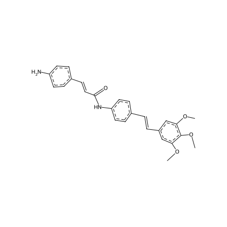 COc1cc(/C=C/c2ccc(NC(=O)/C=C/c3ccc(N)cc3)cc2)cc(OC)c1OC